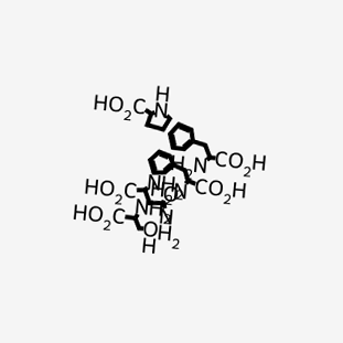 NC(=O)CC(N)C(=O)O.NC(CO)C(=O)O.NC(Cc1ccccc1)C(=O)O.NC(Cc1ccccc1)C(=O)O.O=C(O)C1CCCN1